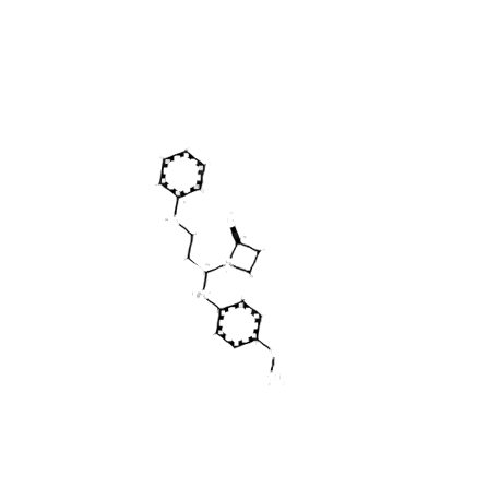 COc1ccc(N[C@@H](CCOc2ccccc2)N2CCC2=O)cc1